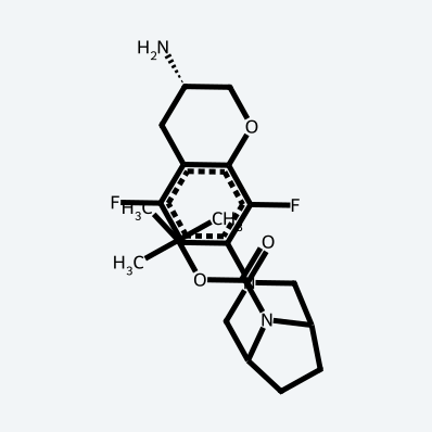 CC(C)(C)OC(=O)N1C2CCC1CN(c1cc(F)c3c(c1F)OC[C@@H](N)C3)C2